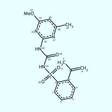 C=C(C)c1ccccc1S(=O)(=O)NC(=O)Nc1nc(C)cc(OC)n1